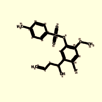 C=CCC(O)c1cc(OS(=O)(=O)c2ccc(C)cc2)c(OC)cc1Br